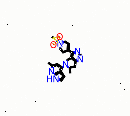 Cc1cc(N2Cc3c(ncnc3C3=CCN(S(C)(=O)=O)CC3)CC2C)c2cc[nH]c2n1